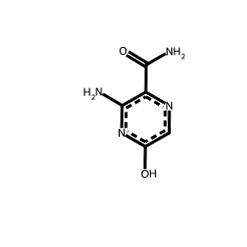 NC(=O)c1ncc(O)nc1N